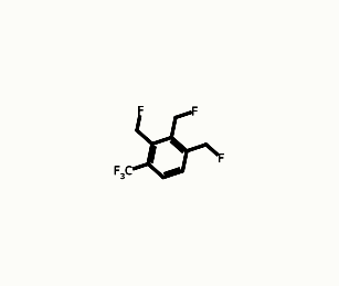 FCc1ccc(C(F)(F)F)c(CF)c1CF